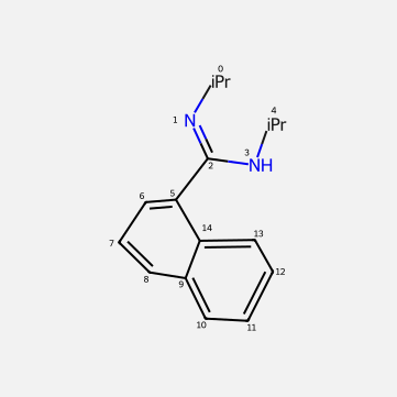 CC(C)N=C(NC(C)C)c1cccc2ccccc12